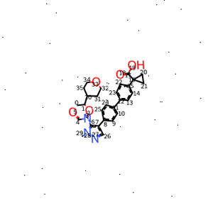 CC(ON(C=O)c1c(-c2ccc(-c3ccc(C4(C(=O)O)CC4)cc3)cc2)cnn1C)C1CCOCC1